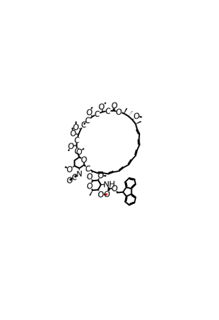 CO[C@@H]1CC[C@@H](OC)[C@H](OC)C[C@H](OC)C[C@]2(OC)C[C@H](OC)[C@@H](N=C=O)C(C[C@@H](O[C@@H]3O[C@H](C)[C@@H](OC)[C@H](NC(=O)OCC4c5ccccc5-c5ccccc54)[C@@H]3OC)/C=C/C=C/C=C/C=C/C=C/C=C/C=C/[C@H](C)[C@@H](OC)[C@@H](C)[C@H](C)OC(=O)C[C@H](OC)C1)O2